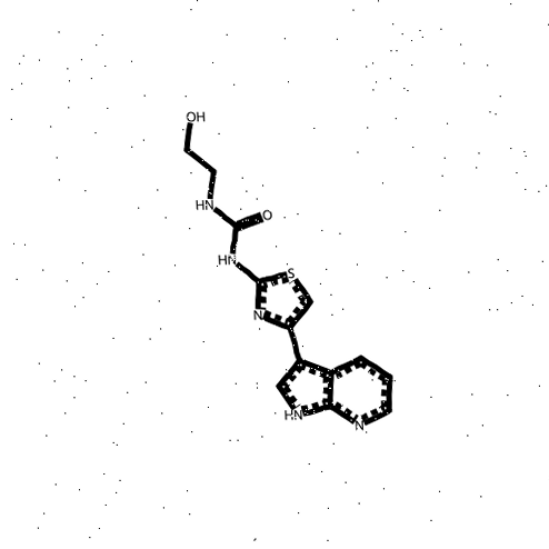 O=C(NCCO)Nc1nc(-c2c[nH]c3ncccc23)cs1